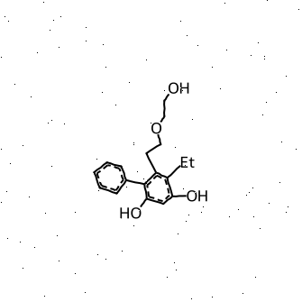 CCc1c(O)cc(O)c(-c2ccccc2)c1CCOCCO